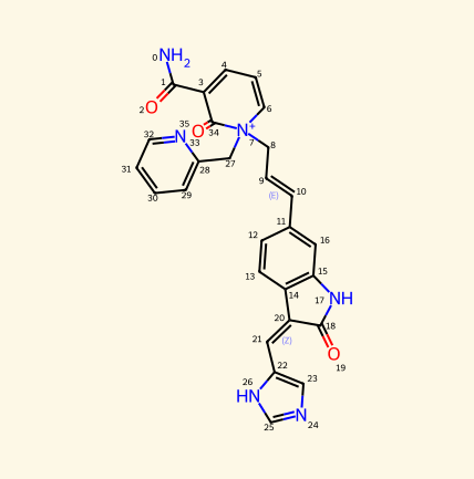 NC(=O)C1=CC=C[N+](C/C=C/c2ccc3c(c2)NC(=O)/C3=C\c2cnc[nH]2)(Cc2ccccn2)C1=O